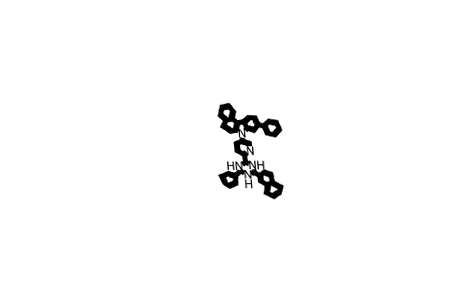 c1ccc(-c2ccc3c4c5ccccc5ccc4n(-c4ccc(C5NC(c6ccccc6)NC(c6ccc7ccccc7c6)N5)nc4)c3c2)cc1